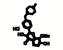 COc1c(O)ccc2c(=O)c(O)c(-c3ccc(CN4CCN(C)CC4)cc3)oc12.Cl